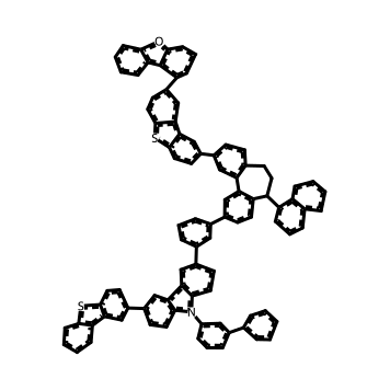 c1ccc(-c2cccc(-n3c4ccc(-c5cccc(-c6ccc7c(c6)-c6cc(-c8ccc9sc%10ccc(-c%11cccc%12oc%13ccccc%13c%11%12)cc%10c9c8)ccc6CCC7c6cccc7ccccc67)c5)cc4c4cc(-c5ccc6sc7ccccc7c6c5)ccc43)c2)cc1